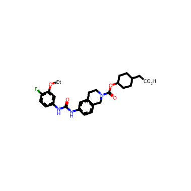 CCOc1cc(NC(=O)Nc2ccc3c(c2)CCN(C(=O)OC2CCC(CC(=O)O)CC2)C3)ccc1F